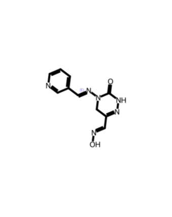 O=C1NN=C(C=NO)CN1/N=C/c1cccnc1